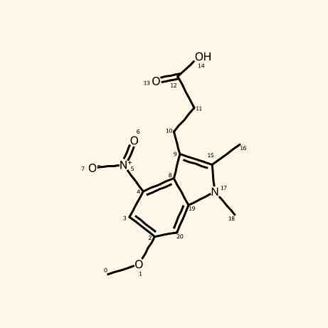 COc1cc([N+](=O)[O-])c2c(CCC(=O)O)c(C)n(C)c2c1